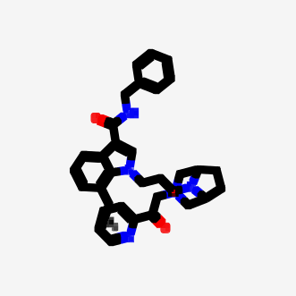 CCc1cccc2c(C(=O)NCc3ccccc3)cn(CCCN3C4CCC3CN(CC(=O)c3ccccn3)C4)c12